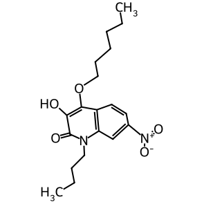 CCCCCCOc1c(O)c(=O)n(CCCC)c2cc([N+](=O)[O-])ccc12